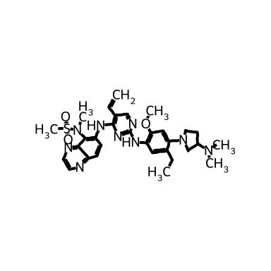 C=Cc1cnc(Nc2cc(CC)c(N3CCC(N(C)C)C3)cc2OC)nc1Nc1ccc2nccnc2c1N(C)S(C)(=O)=O